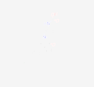 CC(C)(C(=O)c1ccc(NC(=O)O)cn1)c1ccc(Cl)cc1